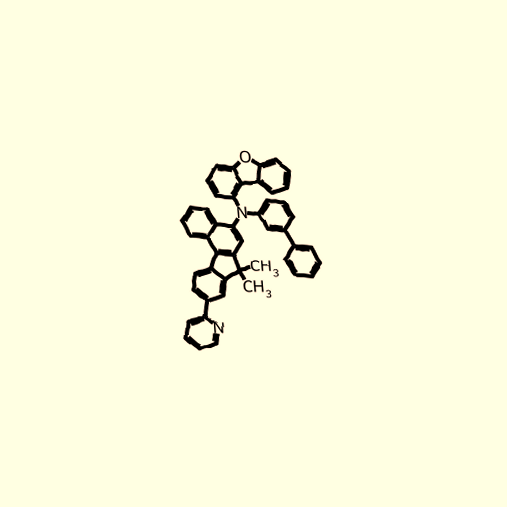 CC1(C)c2cc(-c3ccccn3)ccc2-c2c1cc(N(c1cccc(-c3ccccc3)c1)c1cccc3oc4ccccc4c13)c1ccccc21